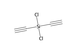 C#C[Si](Cl)(Cl)C#C